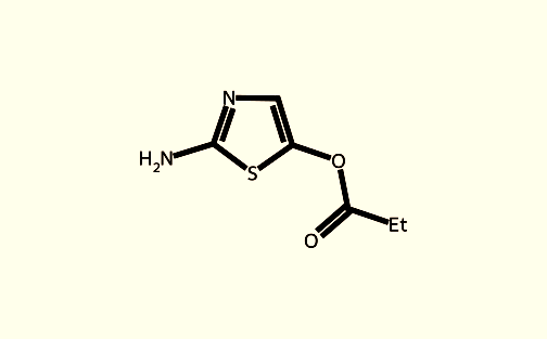 CCC(=O)Oc1cnc(N)s1